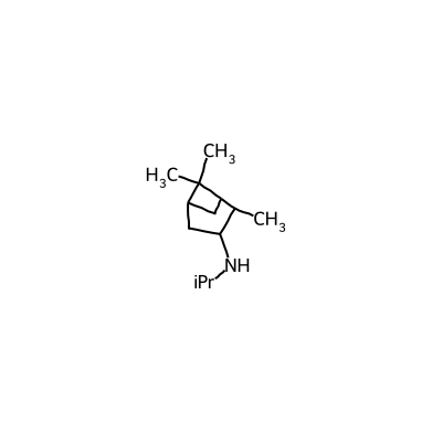 CC(C)NC1CC2CC(C1C)C2(C)C